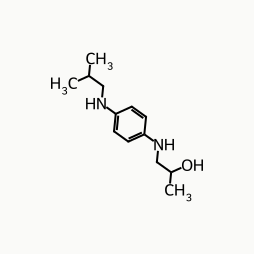 CC(C)CNc1ccc(NCC(C)O)cc1